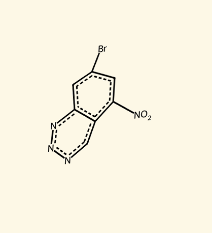 O=[N+]([O-])c1cc(Br)cc2nnncc12